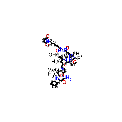 CO[C@H]([C@@H](C)C(=O)N[C@@H](Cc1ccccc1)C(N)=O)[C@@H]1CCCN1CC[C@H](C)[C@@H]([C@@H](CC=O)OC)N(C)C(=O)[C@@H](NC(=O)[C@H](C(C)C)N(C)CCCC(=O)NNC(=O)CCCCCN1C(=O)C=CC1=O)C(C)C